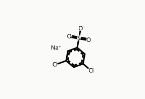 O=S(=O)([O-])c1cc(Cl)cc(Cl)c1.[Na+]